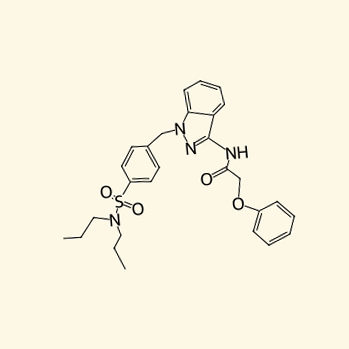 CCCN(CCC)S(=O)(=O)c1ccc(Cn2nc(NC(=O)COc3ccccc3)c3ccccc32)cc1